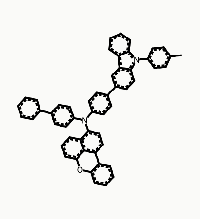 Cc1ccc(-n2c3ccccc3c3cc(-c4ccc(N(c5ccc(-c6ccccc6)cc5)c5ccc6c7c(cccc57)Oc5ccccc5-6)cc4)ccc32)cc1